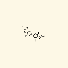 C=CC(=O)Oc1ccc(-c2cc(F)c(OC(=O)C=C)c(F)c2)cc1F